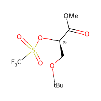 COC(=O)[C@@H](COC(C)(C)C)OS(=O)(=O)C(F)(F)F